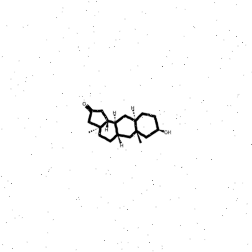 C[C@]12C[C@H](O)CC[C@@H]1C[C@H]1[C@@H](CC[C@@]3(C)CC(=O)C[C@H]13)C2